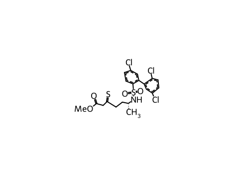 COC(=O)CC(=S)CC[C@@H](C)NS(=O)(=O)c1ccc(Cl)cc1-c1cc(Cl)ccc1Cl